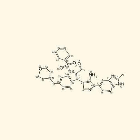 Cc1nc2cc(-n3ncc(-c4c(C=O)n(S(=O)(=O)c5ccccc5)c5cc(CN6CCOCC6)ccc45)c3N)ccc2[nH]1